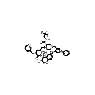 O=C(N[C@H]1c2ccccc2OC[C@H]1O)[C@H](Cc1cccnc1)C[C@H](O)CN1CCN(Cc2cn(-c3ccccc3)cc2Cl)C[C@H]1C(=O)NCC(F)(F)F